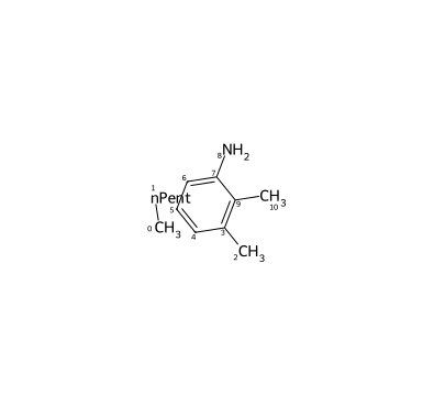 CCCCCC.Cc1cccc(N)c1C